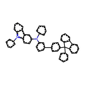 c1ccc(N(c2cccc(-c3ccc(C4(c5ccccc5)c5ccccc5-c5ccccc54)cc3)c2)c2ccc3c(c2)c2ccccc2n3-c2ccccc2)cc1